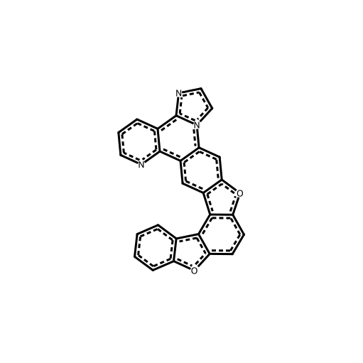 c1ccc2c(c1)oc1ccc3oc4cc5c(cc4c3c12)c1ncccc1c1nccn51